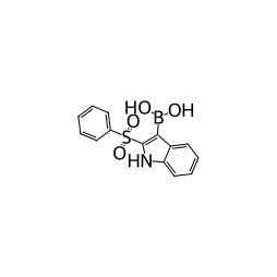 O=S(=O)(c1ccccc1)c1[nH]c2ccccc2c1B(O)O